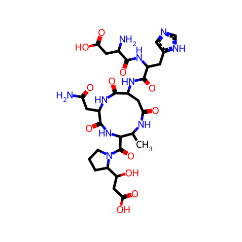 CC1NC(=O)CC(NC(=O)C(Cc2cnc[nH]2)NC(=O)C(N)CC(=O)O)C(=O)NC(CC(N)=O)C(=O)NC1C(=O)N1CCCC1C(O)CC(=O)O